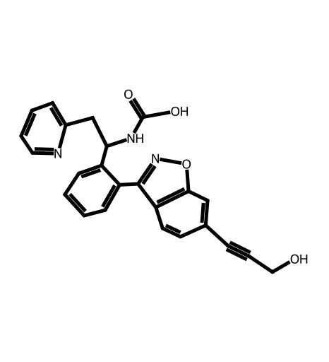 O=C(O)NC(Cc1ccccn1)c1ccccc1-c1noc2cc(C#CCO)ccc12